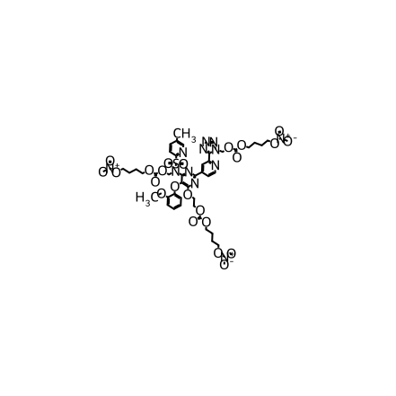 COc1ccccc1Oc1c(OCCOC(=O)OCCCCO[N+](=O)[O-])nc(-c2ccnc(-c3nnnn3COC(=O)OCCCCO[N+](=O)[O-])c2)nc1N(COC(=O)OCCCCO[N+](=O)[O-])S(=O)(=O)c1ccc(C)cn1